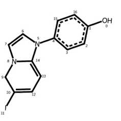 Oc1ccc(N2C=CN3CC(I)=CC=C32)cc1